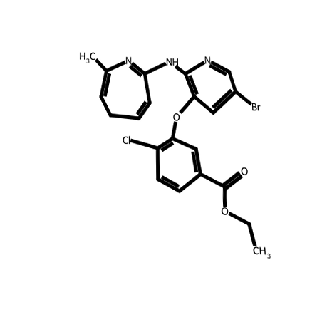 CCOC(=O)c1ccc(Cl)c(Oc2cc(Br)cnc2NC2=NC(C)=CCC=C2)c1